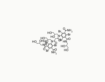 NC(=O)c1c(Br)c(C(=O)NCC(O)CO)c(Br)c(N(CC(O)CO)C(=O)CC(=O)N(CC(O)CO)c2c(Br)c(C(N)=O)c(Br)c(C(=O)NCC(O)CO)c2Br)c1Br